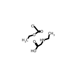 CCNCC(=O)O.CCOC(=O)Cl